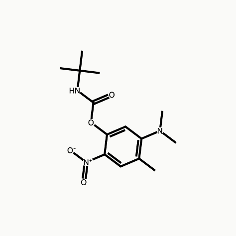 Cc1cc([N+](=O)[O-])c(OC(=O)NC(C)(C)C)cc1N(C)C